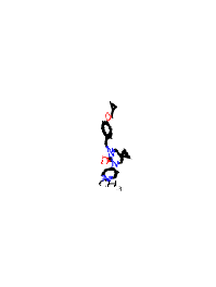 CN1CCC(N2CC3(CC3)CN(Cc3ccc(OCC4CC4)cc3)C2=O)CC1